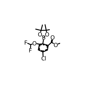 COC(=O)c1cc(Cl)cc(OC(F)F)c1B1OC(C)(C)C(C)(C)O1